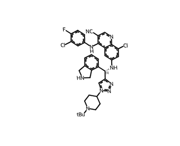 CC(C)(C)N1CCC(n2cc([C@@H](Nc3cc(Cl)c4ncc(C#N)c(Nc5ccc(F)c(Cl)c5)c4c3)c3cccc4c3CNC4)nn2)CC1